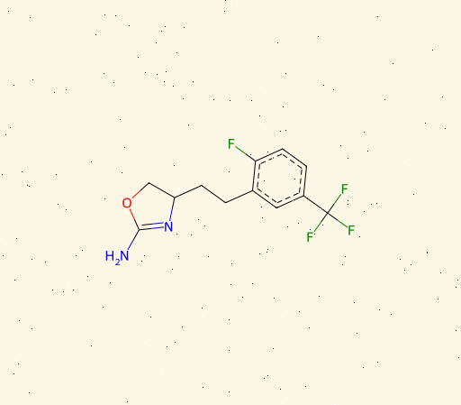 NC1=NC(CCc2cc(C(F)(F)F)ccc2F)CO1